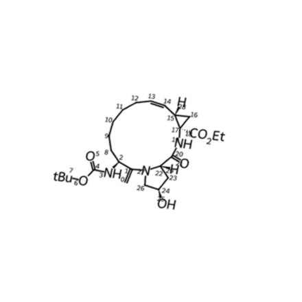 C=C1[C@@H](NC(=O)OC(C)(C)C)CCCCC/C=C\[C@@H]2C[C@@]2(C(=O)OCC)NC(=O)[C@@H]2C[C@@H](O)CN12